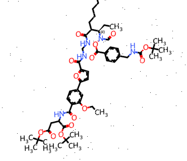 CCCCCC(C(=O)NCNC(=O)c1ccc(-c2ccc(C(=O)NC(CC(=O)OC(C)(C)C)C(=O)OC(C)(C)C)c(OCC)c2)o1)[C@@H](CC)N(C=O)OC(=O)c1ccc(CNC(=O)OC(C)(C)C)cc1